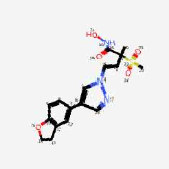 CC(CCn1cc(-c2ccc3c(c2)CCO3)cn1)(C(=O)NO)S(C)(=O)=O